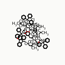 Cc1ccc(C(OC(=O)[C@H](COC(C)(C)C)CC(=O)[C@H](Cc2cn(C(c3ccccc3)(c3ccccc3)c3ccccc3)cn2)NC(=O)C(CC(=O)[C@H](CC(C)C)NC(=O)[C@@H](CC(=O)[C@H](CC(=O)NC(c2ccccc2)(c2ccccc2)c2ccccc2)NC(=O)[C@H](C)CC(=O)OCC2c3ccccc3-c3ccccc32)Cc2ccccc2)C(C)C)(c2ccccc2)c2ccccc2Cl)cc1